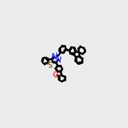 c1cc(-c2ccc3c(c2)-c2ccccc2C32CCCCC2)cc(-c2nc(-c3ccc4c(c3)oc3ccccc34)c3sc4ccccc4c3n2)c1